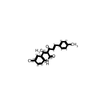 Cc1ccc(C=CC(=O)c2c(C)c3cc(Cl)ccc3[nH]c2=O)cc1